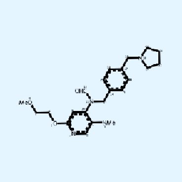 CNc1cnc(OCCOC)cc1N(C=O)Cc1ccc(CN2CCCC2)cc1